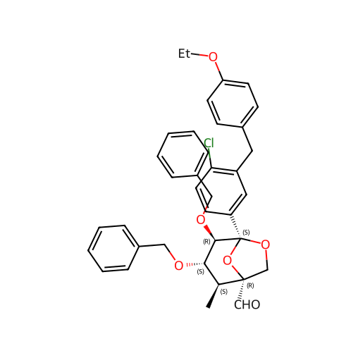 CCOc1ccc(Cc2cc([C@]34OC[C@](C=O)(O3)[C@@H](C)[C@H](OCc3ccccc3)[C@H]4OCc3ccccc3)ccc2Cl)cc1